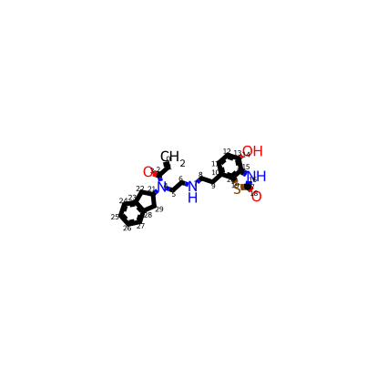 C=CC(=O)N(CCNCCc1ccc(O)c2[nH]c(=O)sc12)C1Cc2ccccc2C1